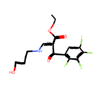 CCOC(=O)/C(=C/NCCCO)C(=O)c1cc(F)c(F)c(F)c1F